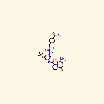 CNC(=O)C1CCC(CNC(=O)N/N=C/[C@H](CC(=O)OC(C)(C)C)NC(=O)[C@@H]2CCCN3C(=O)CC[C@H](N)C(=O)N23)CC1